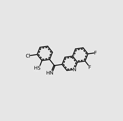 N=C(c1cnc2c(F)c(F)ccc2c1)c1cccc(Cl)c1S